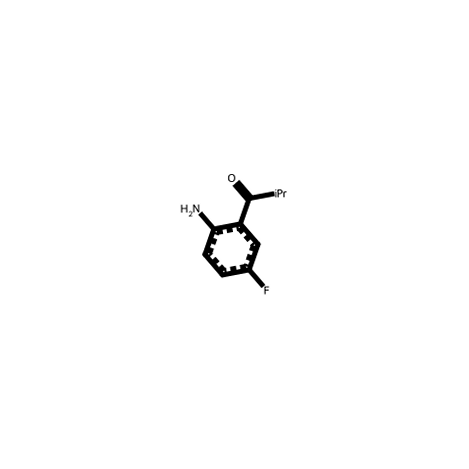 CC(C)C(=O)c1cc(F)ccc1N